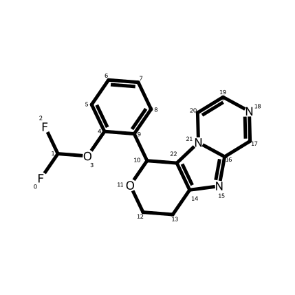 FC(F)Oc1ccccc1C1OCCc2nc3cn[c]cn3c21